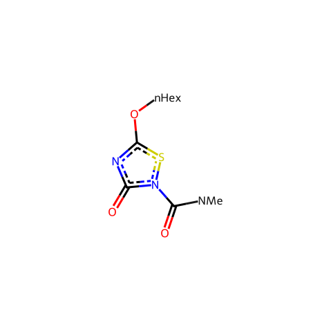 CCCCCCOc1nc(=O)n(C(=O)NC)s1